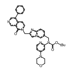 CC(C)(C)OC(=O)N(Cc1ccc2nc(Cn3ccc4c(-c5ccccc5)cncc4c3=O)cn2c1)c1cc(N2CCOCC2)ccn1